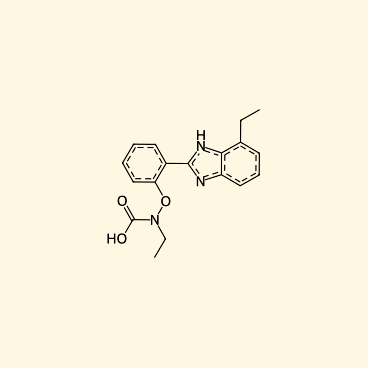 CCc1cccc2nc(-c3ccccc3ON(CC)C(=O)O)[nH]c12